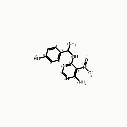 CC(Nc1ncnc(N)c1[N+](=O)[O-])c1ccc(O)cc1